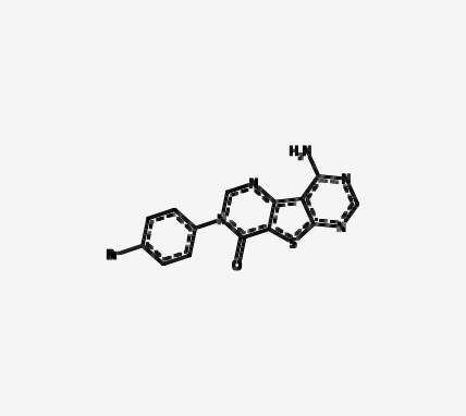 Nc1ncnc2sc3c(=O)n(-c4ccc(Br)cc4)cnc3c12